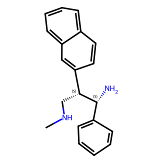 CNC[C@H](c1ccc2ccccc2c1)[C@H](N)c1ccccc1